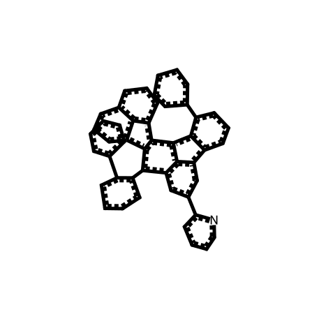 c1ccc(-c2ccccc2-c2c3cc(-c4ccccn4)cc4c5cccc(-c6ccccc6)c5c(c34)c3c4cccc5cccc(c23)c54)cc1